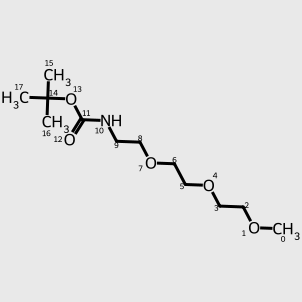 COCCOCCOCCNC(=O)OC(C)(C)C